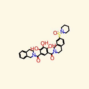 O=C(c1cc(C(=O)N2CCc3ccc([S+]([O-])N4CCCCC4)cc3C2)c(O)c(O)c1O)N1CCc2ccccc2C1